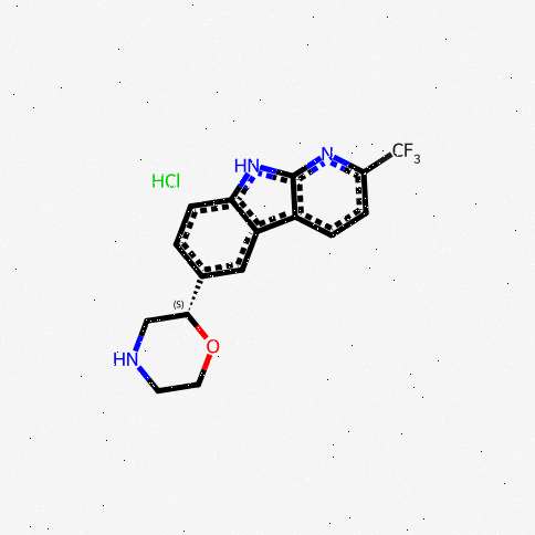 Cl.FC(F)(F)c1ccc2c(n1)[nH]c1ccc([C@H]3CNCCO3)cc12